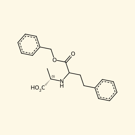 C[C@H](NC(CCc1ccccc1)C(=O)OCc1ccccc1)C(=O)O